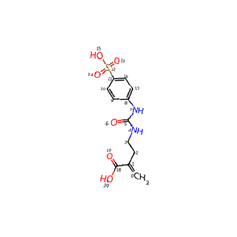 C=C(CCNC(=O)Nc1ccc(S(=O)(=O)O)cc1)C(=O)O